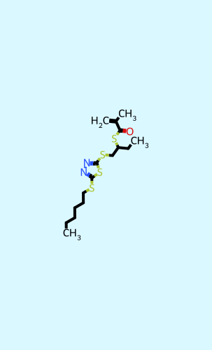 C=C(C)C(=O)SC(CC)CSc1nnc(SCCCCCC)s1